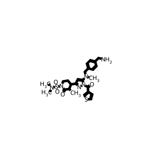 CC1C(=O)N(S(=O)(=O)N(C)C)CCC1c1cc(N(C)Cc2ccc(CN)cc2)n(C(=O)c2ccsc2)n1